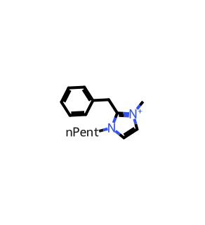 CCCCCn1cc[n+](C)c1Cc1ccccc1